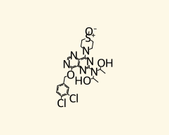 CC(O)N(c1nc(N2CC[S+]([O-])CC2)c2ncnc(OCc3ccc(Cl)c(Cl)c3)c2n1)C(C)O